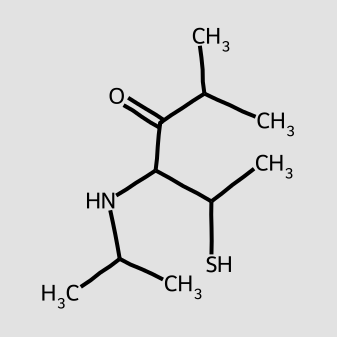 CC(C)NC(C(=O)C(C)C)C(C)S